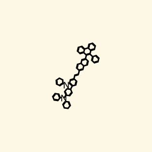 C1=CCCC(N2c3cc(/C=C/C4=CC5C=CC(c6c(-c7ccccc7)c7ccccc7c7ccccc67)=CC5C=C4)ccc3C3C=CC(N(C4=CCCC=C4)c4ccccc4)=CC32)=C1